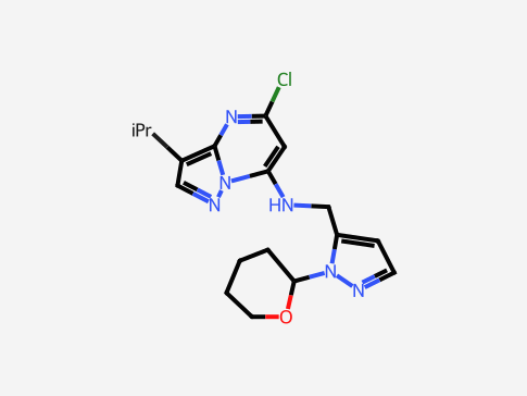 CC(C)c1cnn2c(NCc3ccnn3C3CCCCO3)cc(Cl)nc12